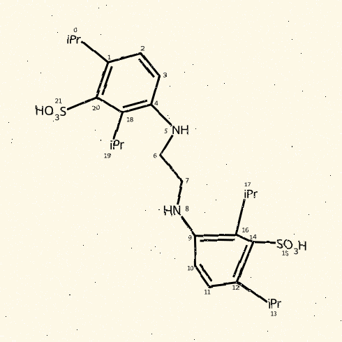 CC(C)c1ccc(NCCNc2ccc(C(C)C)c(S(=O)(=O)O)c2C(C)C)c(C(C)C)c1S(=O)(=O)O